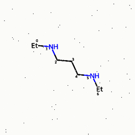 CCNCCCNCC